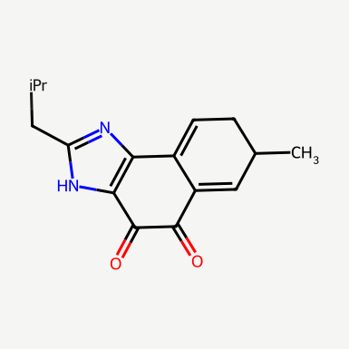 CC(C)Cc1nc2c([nH]1)C(=O)C(=O)C1=CC(C)CC=C12